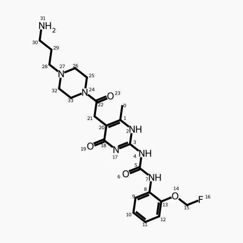 Cc1[nH]c(NC(=O)Nc2ccccc2OCF)nc(=O)c1CC(=O)N1CCN(CCCN)CC1